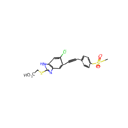 CS(=O)(=O)c1ccc(C#Cc2cc3nc(SCC(=O)O)[nH]c3cc2Cl)cc1